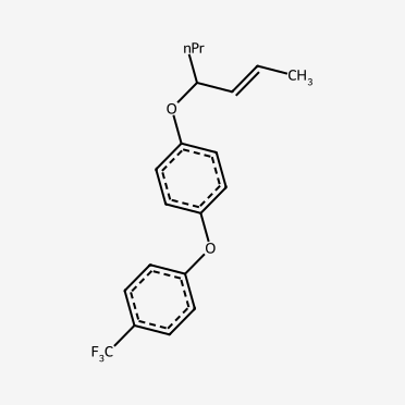 CC=CC(CCC)Oc1ccc(Oc2ccc(C(F)(F)F)cc2)cc1